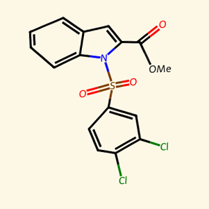 COC(=O)c1cc2ccccc2n1S(=O)(=O)c1ccc(Cl)c(Cl)c1